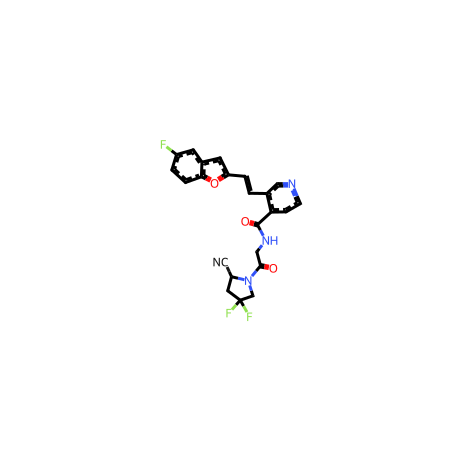 N#CC1CC(F)(F)CN1C(=O)CNC(=O)c1ccncc1C=Cc1cc2cc(F)ccc2o1